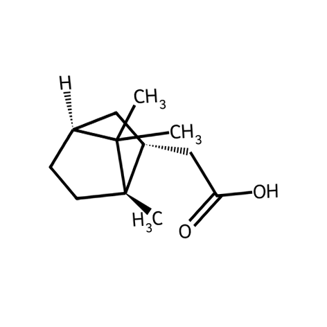 CC1(C)[C@H]2CC[C@@]1(C)[C@@H](CC(=O)O)C2